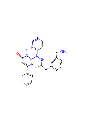 CC(Cc1cccc(CN)c1)NN(c1ccncn1)c1nc(-c2ccccc2)cc(=O)n1C